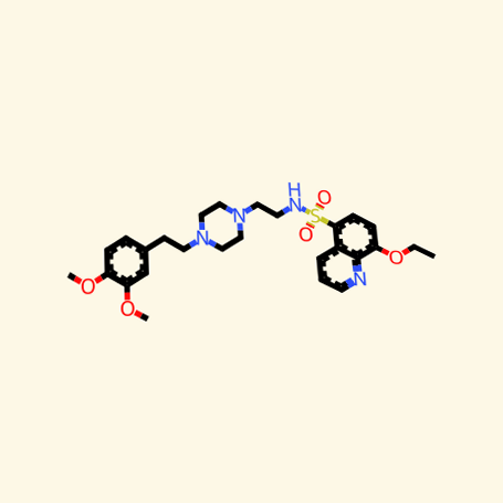 CCOc1ccc(S(=O)(=O)NCCN2CCN(CCc3ccc(OC)c(OC)c3)CC2)c2cccnc12